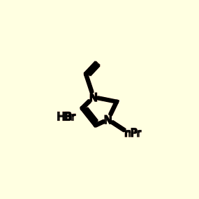 Br.C=CN1C=CN(CCC)C1